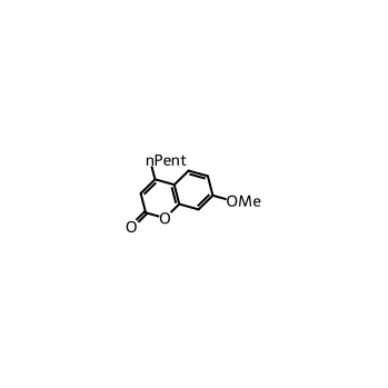 [CH2]CCCCc1cc(=O)oc2cc(OC)ccc12